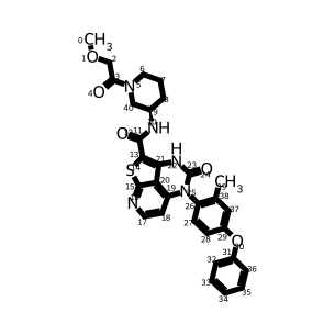 COCC(=O)N1CCC[C@@H](NC(=O)c2sc3nccc4c3c2NC(=O)N4c2ccc(Oc3ccccc3)cc2C)C1